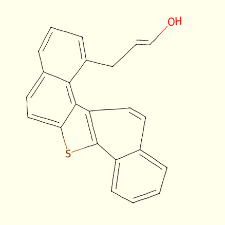 OC=CCc1cccc2ccc3sc4c5ccccc5ccc4c3c12